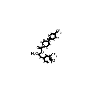 CC(Cc1c[nH]c(=O)c(C(F)(F)F)c1)OC(=O)N1CC=C(c2ccc(C(F)(F)F)cn2)CC1